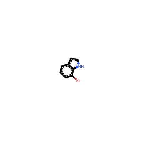 Brc1cccc2[c]c[nH]c12